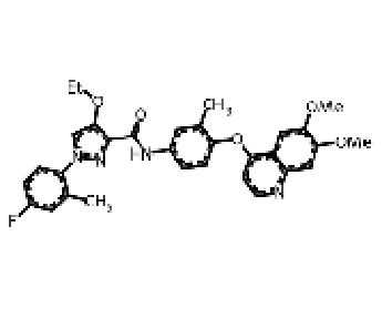 CCOc1cn(-c2ccc(F)cc2C)nc1C(=O)Nc1ccc(Oc2ccnc3cc(OC)c(OC)cc23)c(C)c1